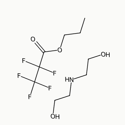 CCCOC(=O)C(F)(F)C(F)(F)F.OCCNCCO